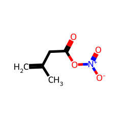 C=C(C)CC(=O)O[N+](=O)[O-]